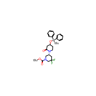 CC(C)(C)OC(=O)N1C[C@H](N2CCC(O[Si](c3ccccc3)(c3ccccc3)C(C)(C)C)CC2=O)CC(F)(F)C1